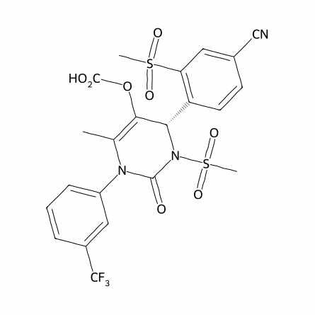 CC1=C(OC(=O)O)[C@H](c2ccc(C#N)cc2S(C)(=O)=O)N(S(C)(=O)=O)C(=O)N1c1cccc(C(F)(F)F)c1